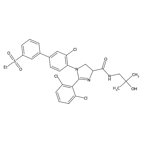 CCS(=O)(=O)c1cccc(-c2ccc(N3CC(C(=O)NCC(C)(C)O)N=C3c3c(Cl)cccc3Cl)c(Cl)c2)c1